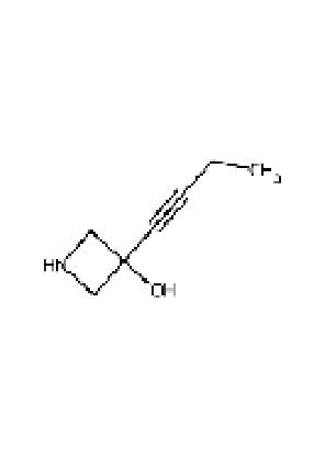 CCC#CC1(O)CNC1